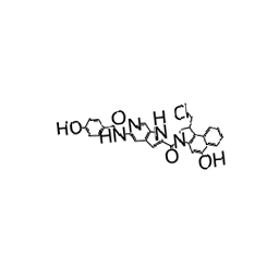 O=C(Nc1cc2cc(C(=O)N3CC(CCl)c4c3cc(O)c3ccccc43)[nH]c2cn1)c1ccc(O)cc1